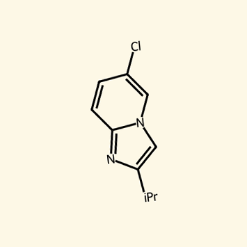 CC(C)c1cn2cc(Cl)ccc2n1